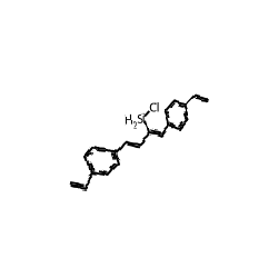 C=Cc1ccc(C=CC(=Cc2ccc(C=C)cc2)[SiH2]Cl)cc1